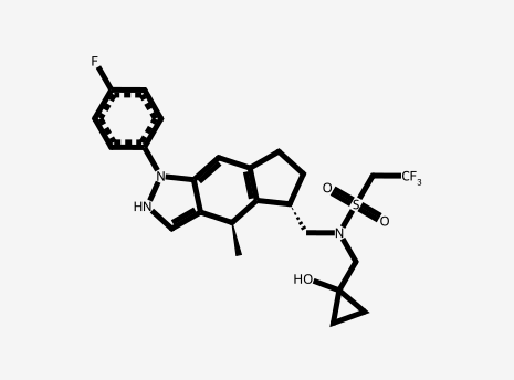 C[C@H]1C2=CNN(c3ccc(F)cc3)C2=CC2=C1[C@@H](CN(CC1(O)CC1)S(=O)(=O)CC(F)(F)F)CC2